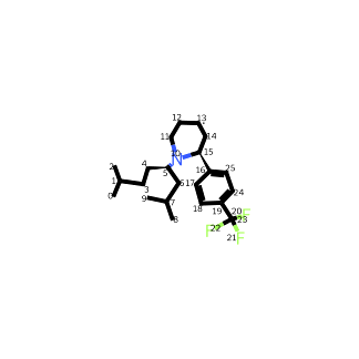 CC(C)CC[C@H](CC(C)C)N1CC[CH]C[C@H]1c1ccc(C(F)(F)F)cc1